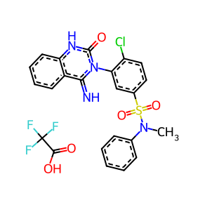 CN(c1ccccc1)S(=O)(=O)c1ccc(Cl)c(-n2c(=O)[nH]c3ccccc3c2=N)c1.O=C(O)C(F)(F)F